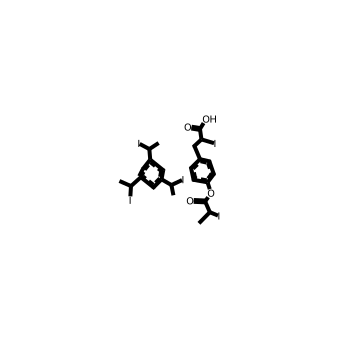 CC(I)C(=O)Oc1ccc(CC(I)C(=O)O)cc1.CC(I)c1cc(C(C)I)cc(C(C)I)c1